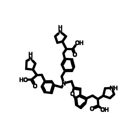 O=C(O)C(Cc1cccc(CN(Cc2cccc(CC(C(=O)O)C3CCNC3)c2)Cc2cc3c(CC(C(=O)O)C4CCNC4)cccc3o2)c1)C1CCNC1